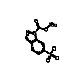 CC(C)(C)OC(=O)n1ncc2ccc(S(=O)(=O)Cl)cc21